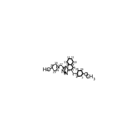 COc1ccc(Cc2cc3ccccc3n3c(CN4CCC(O)CC4)nnc23)cc1